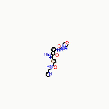 O=C(Nc1cccc2c1C(=O)c1c(-c3ccc(C(=O)NCCc4ccccn4)s3)n[nH]c1-2)NN1CCOCC1